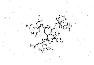 CC[Si](CC)(CC)OC(=O)CC(C(=O)O[Si](CC)(CC)CC)N(CCC[Si](OC)(OC)OC)[Si](C)(C)C